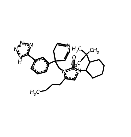 CCCCc1cn(C2CCCCC2C(C)(C)C)c(=O)n1CC1(c2cccc(-c3nnn[nH]3)c2)C=CN=CC1